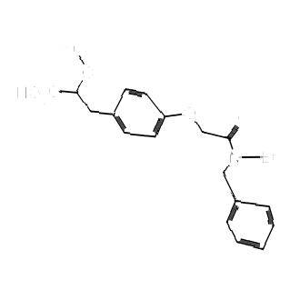 CCOC(Cc1ccc(OCC(=O)N(CC)Cc2ccccc2)cc1)C(=O)O